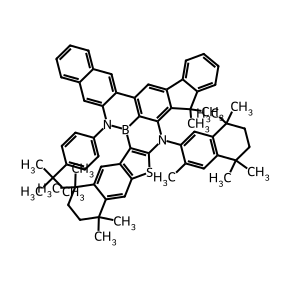 Cc1cc2c(cc1N1c3sc4cc5c(cc4c3B3c4c(cc6c(c41)C(C)(C)c1ccccc1-6)-c1cc4ccccc4cc1N3c1ccc(C(C)(C)C)cc1)C(C)(C)CCC5(C)C)C(C)(C)CCC2(C)C